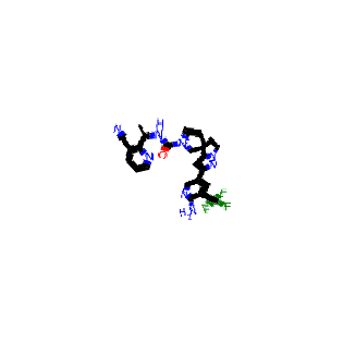 C[C@@H](NC(=O)N1CCC2(CCn3nc(-c4cnc(N)c(C(F)(F)F)c4)cc32)C1)c1ncccc1C#N